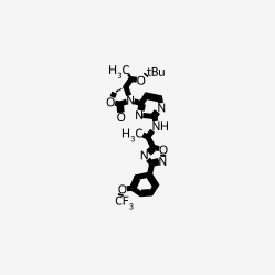 CC(Nc1nccc(N2C(=O)OC[C@@H]2[C@@H](C)OC(C)(C)C)n1)c1nc(-c2cccc(OC(F)(F)F)c2)no1